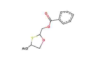 CC(=O)OC1COC(COC(=O)c2ccccc2)S1